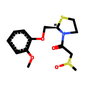 COc1ccccc1OC[C@H]1SCCN1C(=O)C[S+](C)[O-]